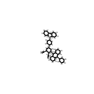 N#Cc1cc(-c2ccc(-n3c4ccccc4c4ccccc43)cc2)cc(-c2c3ccccc3c(-c3ccccc3)c3ccccc23)c1C#N